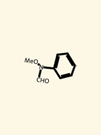 CON(C=O)c1cc[c]cc1